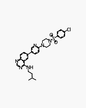 CC(C)CCNc1ncnc2ccc(-c3ccc(N4CCN(S(=O)(=O)c5ccc(Cl)cc5)CC4)nc3)cc12